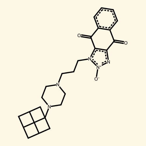 O=C1c2ccccc2C(=O)c2c1n[n+]([O-])n2CCCN1CCN(C23CC4CC5CC(C2)C543)CC1